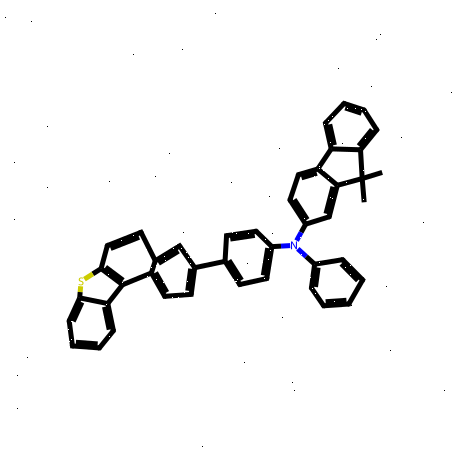 CC1(C)c2ccccc2-c2ccc(N(c3ccccc3)c3ccc(-c4ccc5c(ccc6sc7ccccc7c65)c4)cc3)cc21